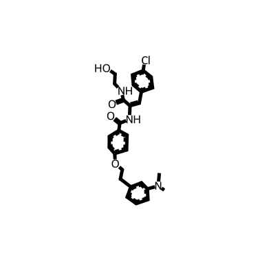 CN(C)c1cccc(CCOc2ccc(C(=O)N/C(=C/c3ccc(Cl)cc3)C(=O)NCCO)cc2)c1